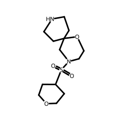 O=S(=O)(C1CCOCC1)N1CCOC2(CCNCC2)C1